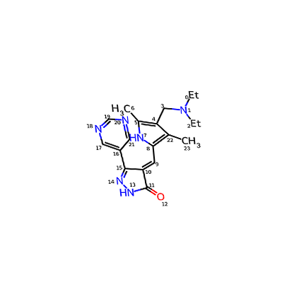 CCN(CC)Cc1c(C)[nH]c(/C=C2/C(=O)NN=C2c2cncnc2)c1C